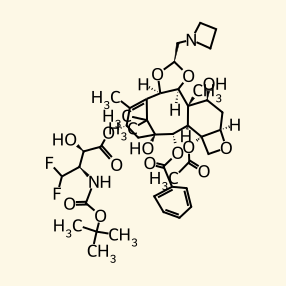 CC(=O)O[C@@]12CO[C@@H]1C[C@H](O)[C@@]1(C)[C@@H]3O[C@H](CN4CCC4)O[C@@H]3C3=C(C)[C@@H](OC(=O)[C@H](O)[C@@H](NC(=O)OC(C)(C)C)C(F)F)C[C@@](O)([C@@H](OC(=O)c4ccccc4)[C@H]21)C3(C)C